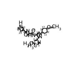 C=N/C=C(\N=C/C)c1nn([C@H]2CC[C@H](OCC)CC2)cc1NC(=O)c1coc(-c2cn[nH]c2)n1